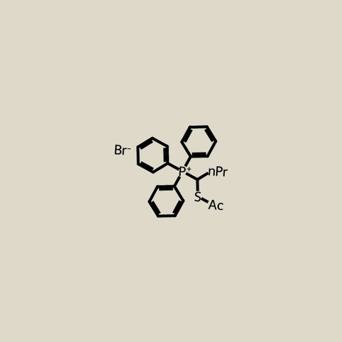 CCCC(SC(C)=O)[P+](c1ccccc1)(c1ccccc1)c1ccccc1.[Br-]